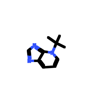 CC(C)(C)n1cccc2ncnc1-2